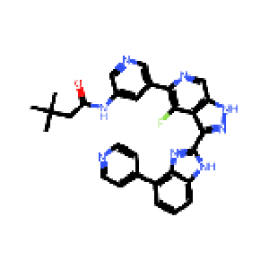 CC(C)(C)CC(=O)Nc1cncc(-c2ncc3[nH]nc(-c4nc5c(-c6ccncc6)cccc5[nH]4)c3c2F)c1